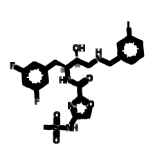 CS(=O)(=O)Nc1coc(C(=O)N[C@@H](Cc2cc(F)cc(F)c2)[C@H](O)CNCc2cccc(I)c2)n1